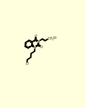 CCOC(=O)CCn1c(=O)c2ccccc2n(CCCCCl)c1=O